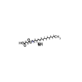 CCCCCCCCCCCCCC/C=C/OC(=O)CCC(=O)O.[KH].[KH]